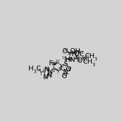 CCc1nnn(-c2cc([N+](=O)[O-])c(SCC(NC(=O)OC(C)(C)C)C(=O)O)cc2F)n1